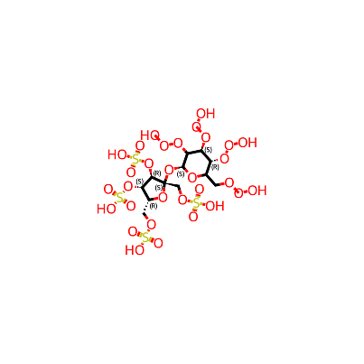 O=S(=O)(O)OC[C@H]1O[C@@](COS(=O)(=O)O)(O[C@@H]2OC(COOO)[C@@H](OOO)[C@H](OOO)C2OOO)[C@H](OS(=O)(=O)O)[C@H]1OS(=O)(=O)O